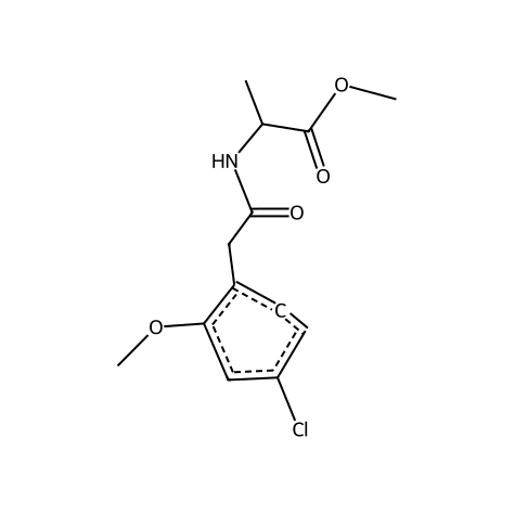 COC(=O)C(C)NC(=O)Cc1ccc(Cl)cc1OC